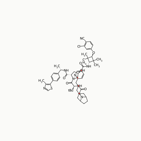 Cc1ncsc1-c1ccc([C@H](C)NC(=O)[C@@H]2C[C@@H](O)CN2C(=O)[C@@H](NC(=O)CN2C3CCC2CN(CCCc2ccc(C(=O)N[C@H]4C(C)(C)[C@H](Oc5ccc(C#N)c(Cl)c5)C4(C)C)cn2)C3)C(C)(C)C)cc1